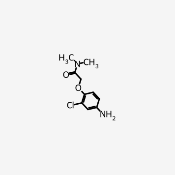 CN(C)C(=O)COc1ccc(N)cc1Cl